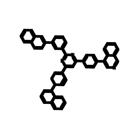 C1#CC(c2cccc3ccccc23)CC=C1c1cc(-c2ccc(-c3cncc4ccccc34)cc2)nc(-c2cccc(-c3ccc4ccccc4c3)c2)n1